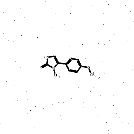 Cn1c(-c2ccc(OC(F)(F)F)cc2)c[nH]c1=S